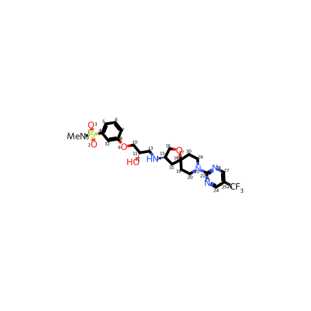 CNS(=O)(=O)c1cccc(OC[C@@H](O)CN[C@H]2COC3(CCN(c4ncc(C(F)(F)F)cn4)CC3)C2)c1